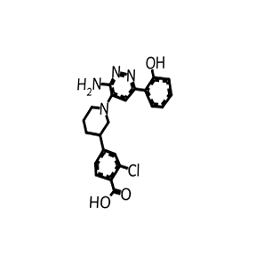 Nc1nnc(-c2ccccc2O)cc1N1CCCC(c2ccc(C(=O)O)c(Cl)c2)C1